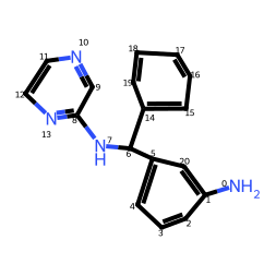 Nc1cccc(C(Nc2cnccn2)c2ccccc2)c1